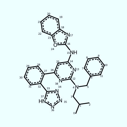 CC(C)CN(Cc1ccccc1)c1nc(Nc2nc3ccccc3o2)cc(-c2ccccc2-c2nnn[nH]2)n1